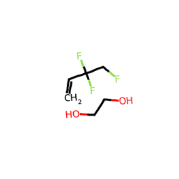 C=CC(F)(F)CF.OCCO